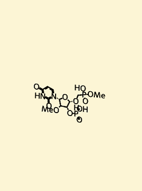 CO[C@@H]1[C@H](O[PH](=O)O)[C@@H](OCP(=O)(O)OC)O[C@H]1n1ccc(=O)[nH]c1=O